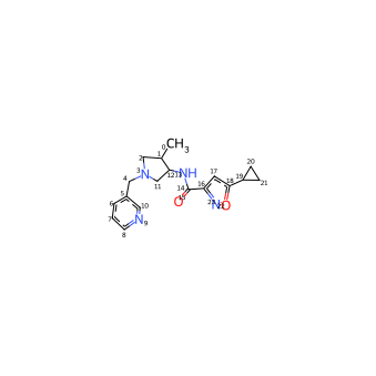 CC1CN(Cc2cccnc2)CC1NC(=O)c1cc(C2CC2)on1